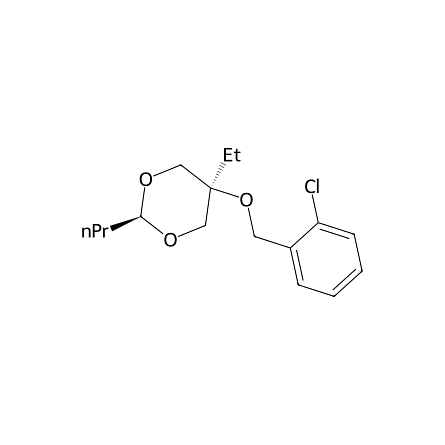 CCC[C@H]1OC[C@@](CC)(OCc2ccccc2Cl)CO1